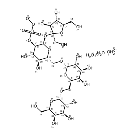 O.O.O.O.O=S(=O)(O[O-])O[C@H]1[C@@H](O[C@]2(CO)O[C@H](CO)[C@@H](O)[C@@H]2O)O[C@H](CO[C@H]2O[C@H](CO[C@H]3O[C@H](CO)[C@H](O)[C@H](O)[C@H]3O)[C@H](O)[C@H](O)[C@H]2O)[C@@H](O)[C@@H]1O.[K+]